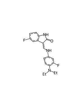 CCN(CC)c1ccc(NC=C2C(=O)Nc3ccc(F)cc32)cc1F